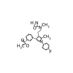 Cc1c(CCN(C)C(N)=O)c(-c2cccc(S(C)(=O)=O)c2)cn1-c1ccc(F)cc1